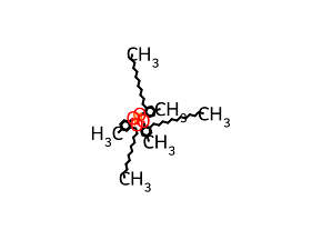 CCCCCCCCCCCCc1cc(C)ccc1OP(=O)(Oc1ccc(C)cc1CCCCCCCCCCCC)Oc1ccc(C)cc1CCCCCCCCCCCC